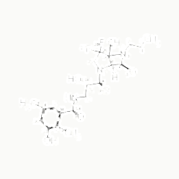 CCCN1C(=O)[C@H]2N(C(=O)[C@@H](O)CNC(=O)c3cc(C)cc(O)c3C)CC(F)(F)C21C